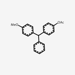 COc1ccc([C](c2ccccc2)c2ccc(OC(C)=O)cc2)cc1